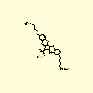 CCCCCCCCCCCCCCc1ccc2c(c1)N=c1c(c3c(n1C(=O)OC(C)(C)C)=Nc1cc(CCCCCCCCCCCCCC)ccc1S3)S2